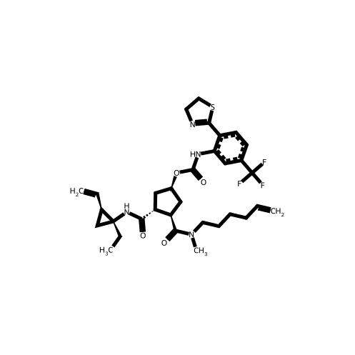 C=CCCCCN(C)C(=O)[C@@H]1C[C@H](OC(=O)Nc2cc(C(F)(F)F)ccc2C2=NCCS2)C[C@H]1C(=O)N[C@]1(CC)C[C@H]1C=C